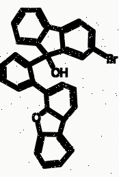 OC1(c2ccccc2C2=CC=CC3c4ccccc4OC23)c2ccccc2-c2ccc(Br)cc21